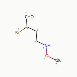 CC(C)(C)ONCCC(Br)C=O